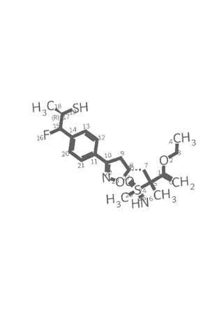 C=C(OCC)C(C)(C[C@H]1CC(c2ccc(C(F)[C@@H](C)S)cc2)=NO1)S(C)(=N)=O